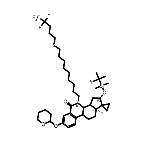 CC(C)C(C)(C)[Si](C)(C)O[C@@H]1CC2C3C(CC[C@]2(C)C12CC2)c1ccc(OC2CCCCO2)cc1C(=O)[C@H]3CCCCCCCCCSCCCC(F)(F)C(F)(F)F